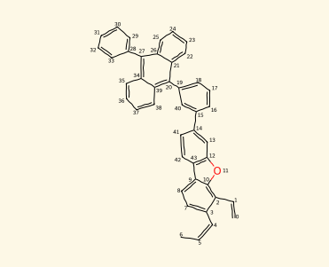 C=Cc1c(/C=C\C)ccc2c1oc1cc(-c3cccc(-c4c5ccccc5c(-c5ccccc5)c5ccccc45)c3)ccc12